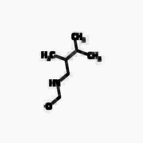 CC(C)C(C)CNC[O]